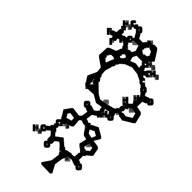 CO[C@@H](C)c1ncccc1-c1c2c3cc(ccc3n1CC(F)(F)F)-c1csc(n1)C[C@H](NC(=O)C(C1CCCC1)N1CC[C@]3(CCN(C(=O)[C@H]4C(C5CC5)N4CC(=O)N(C)C)C3)C1)C(=O)N1CCC[C@H](N1)C(=O)OCC(C)(C)C2